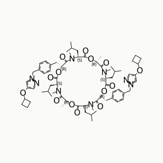 CC(C)C[C@H]1C(=O)O[C@H](Cc2ccc(Cn3cc(OC4CCC4)cn3)cc2)C(=O)N(C)[C@@H](CC(C)C)C(=O)O[C@H](C)C(=O)N(C)[C@@H](CC(C)C)C(=O)O[C@H](Cc2ccc(Cn3cc(OC4CCC4)cn3)cc2)C(=O)N(C)[C@@H](CC(C)C)C(=O)O[C@H](C)C(=O)N1C